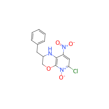 O=[N+]([O-])c1cc(Cl)[n+]([O-])c2c1NC(Cc1ccccc1)CO2